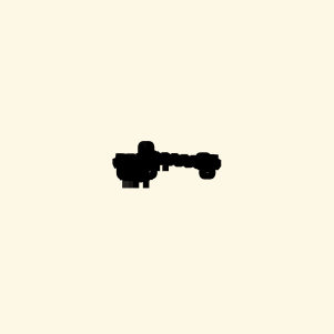 C=C(C)C(=O)OCCCCCCCCCCOC(=O)CC(CCC(CCC)OC(=O)C(=C)C)P(=O)(O)O